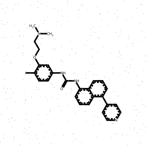 CN(C)CCOc1cc(NC(=O)Nc2cccc3c(-c4ccncc4)cccc23)ccc1I